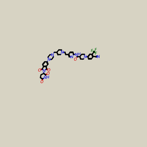 N#Cc1ccc(N2CCC(C(=O)Nc3ccc(CCN4CCC(CN5CCN(c6ccc7c(c6)C(=O)N(C6CCC(=O)NC6=O)C7=O)CC5)CC4)cn3)CC2)cc1C(F)(F)F